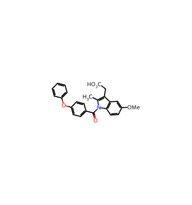 COc1ccc2c(c1)c(CC(=O)O)c(C)n2C(=O)c1ccc(Oc2ccccc2)cc1